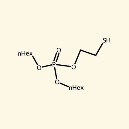 CCCCCCOP(=O)(OCCS)OCCCCCC